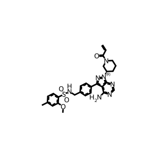 C=CC(=O)N1CCC[C@@H](n2nc(-c3ccc(CNS(=O)(=O)c4ccc(C)cc4OC)cc3)c3c(N)ncnc32)C1